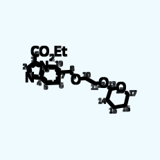 CCOC(=O)c1cnc2ccc(COCCOC3CCCCO3)cn12